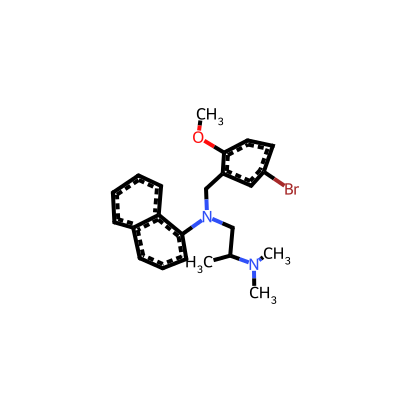 COc1ccc(Br)cc1CN(CC(C)N(C)C)c1cccc2ccccc12